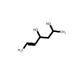 C/C=C/C(O)CC(C)O